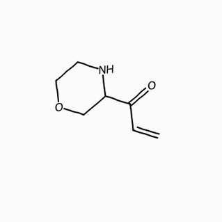 C=CC(=O)C1COCCN1